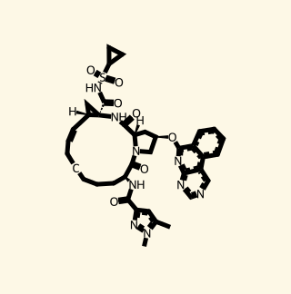 Cc1cc(C(=O)N[C@H]2CCCCCC=C[C@@H]3C[C@@]3(C(=O)NS(=O)(=O)C3CC3)NC(=O)[C@@H]3C[C@@H](Oc4nc5ncncc5c5ccccc45)CN3C2=O)nn1C